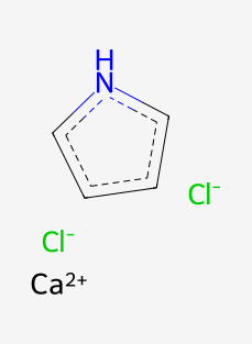 [Ca+2].[Cl-].[Cl-].c1cc[nH]c1